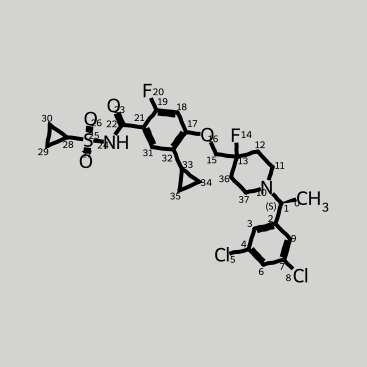 C[C@@H](c1cc(Cl)cc(Cl)c1)N1CCC(F)(COc2cc(F)c(C(=O)NS(=O)(=O)C3CC3)cc2C2CC2)CC1